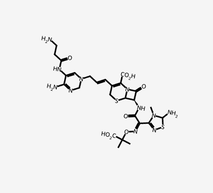 CN1C(/C(=N/OC(C)(C)C(=O)O)C(=O)N[C@@H]2C(=O)N3C(C(=O)O)=C(/C=C/CN4C=C(NC(=O)CCN)C(N)=NC4)CSC23)=NSC1N